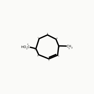 CC1/C=C\CC(C(=O)O)CCC1